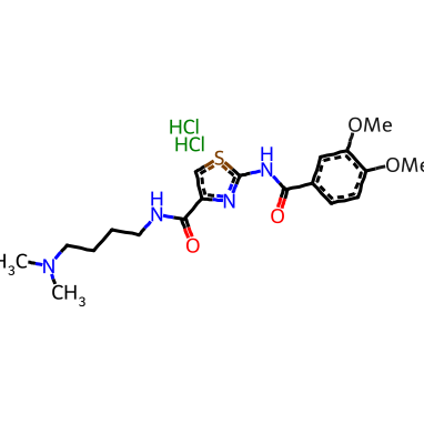 COc1ccc(C(=O)Nc2nc(C(=O)NCCCCN(C)C)cs2)cc1OC.Cl.Cl